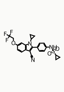 N#Cc1c(-c2ccc(NS(=O)(=O)C3CC3)cc2)n(C2CC2)c2cc(OCC(F)(F)F)ccc12